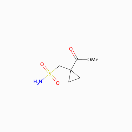 COC(=O)C1(CS(N)(=O)=O)CC1